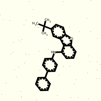 CC(C)(C)c1ccc2oc3cccc(Nc4ccc(-c5ccccc5)cc4)c3c2c1